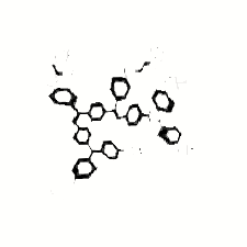 C=CC(=O)Oc1ccc(C(=Cc2ccc(C(c3ccc(C)cc3)c3ccc(C)cc3)cc2)c2ccc(C(=Cc3ccc(N(c4ccc(C)cc4)c4ccc(C)cc4)cc3)c3ccc(OC(=O)C=C)cc3)cc2)cc1